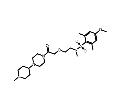 COc1cc(C)c(S(=O)(=O)N(C)CCOCC(=O)N2CCN(C3CCN(C)CC3)CC2)c(C)c1